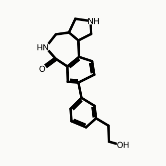 O=C1NCC2CNCC2c2ccc(-c3cccc(CCO)c3)cc21